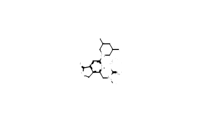 CC1CC(C)CN(c2cc3c(c(CN(C)C(=O)OC(C)(C)C)n2)CNC3=O)C1